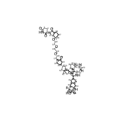 O=C1CCC(N2Cc3c(OCCOCCOCCn4ccc([C@@H]5CN(C(=O)[C@@H]6CC[C@@H]7C[C@H]8C[C@H]8C[C@H](NC(=O)c8cc9cc(C(F)(F)P(=O)(O)O)ccc9s8)C(=O)N76)C6(CC6)C5)cc4=O)cccc3C2=O)C(=O)N1